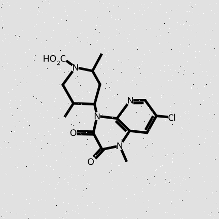 CC1CN(C(=O)O)C(C)CC1n1c(=O)c(=O)n(C)c2cc(Cl)cnc21